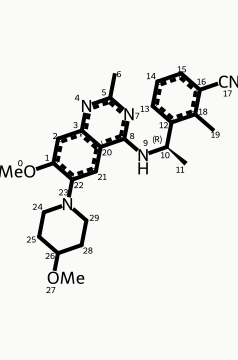 COc1cc2nc(C)nc(N[C@H](C)c3cccc(C#N)c3C)c2cc1N1CCC(OC)CC1